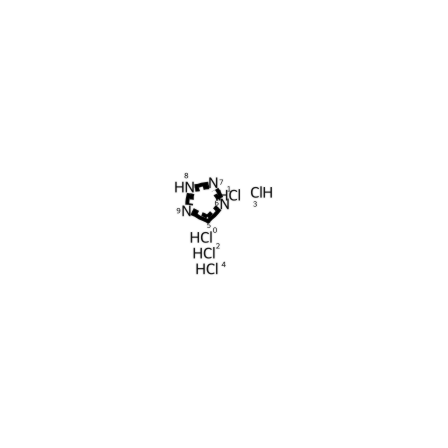 Cl.Cl.Cl.Cl.Cl.c1nn[nH]n1